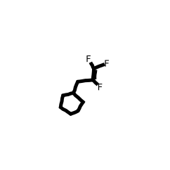 FC(F)=C(F)CC1CCCCC1